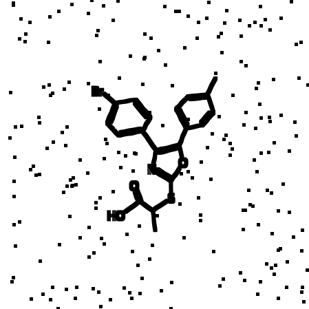 Cc1ccc(-c2oc(SC(C)C(=O)O)nc2-c2ccc(Br)cc2)cc1